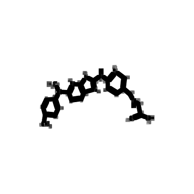 Cc1ccc(N(C)c2ccc3nc(Nc4ccc(CNCC(=O)O)cn4)sc3n2)cc1